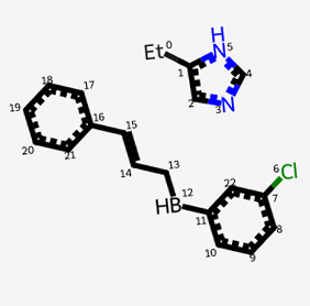 CCc1cnc[nH]1.Clc1cccc(BCC=Cc2ccccc2)c1